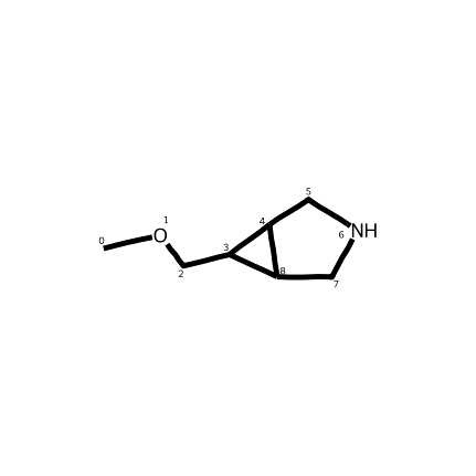 COCC1C2CNCC21